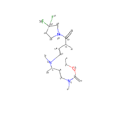 C=C(OCC)N(C)CCC(C)N(C)CCC(C)C(=C)N1CCC(F)(F)C1